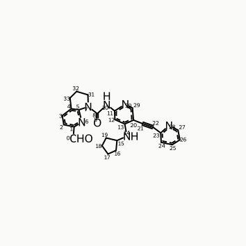 O=Cc1ccc2c(n1)N(C(=O)Nc1cc(NC3CCCC3)c(C#Cc3ccccn3)cn1)CCC2